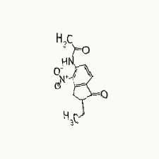 CCC1Cc2c(ccc(NC(C)=O)c2[N+](=O)[O-])C1=O